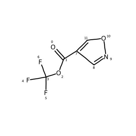 O=C(OC(F)(F)F)c1cnoc1